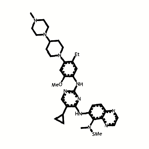 CCc1cc(Nc2ncc(C3CC3)c(Nc3ccc4nccnc4c3N(C)SC)n2)c(OC)cc1N1CCC(N2CCN(C)CC2)CC1